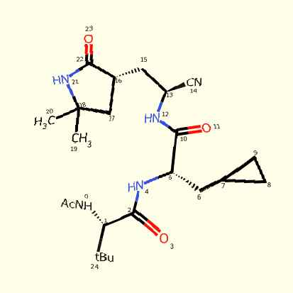 CC(=O)N[C@H](C(=O)N[C@@H](CC1CC1)C(=O)N[C@H](C#N)C[C@@H]1CC(C)(C)NC1=O)C(C)(C)C